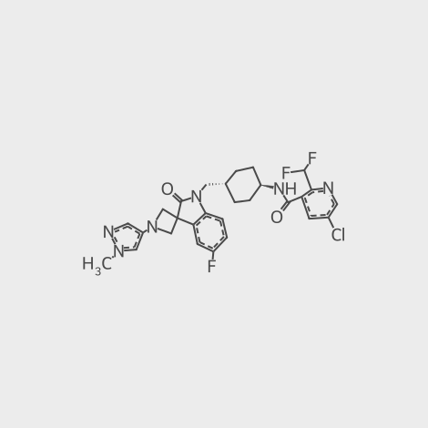 Cn1cc(N2CC3(C2)C(=O)N(C[C@H]2CC[C@H](NC(=O)c4cc(Cl)cnc4C(F)F)CC2)c2ccc(F)cc23)cn1